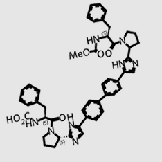 COC(=O)N[C@@H](Cc1ccccc1)C(=O)N1CCCC1c1ncc(-c2ccc(-c3ccc(-c4cnc([C@@H]5CCCN5C(=O)[C@H](Cc5ccccc5)NC(=O)O)[nH]4)cc3)cc2)[nH]1